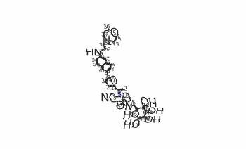 C/C(=C(/C#N)S(=O)(=O)NCC1OC(O)[C@H](O)[C@@H](O)[C@@H]1O)c1ccc(-c2ccc3cc(NCCN4CCOCC4)ccc3c2)o1